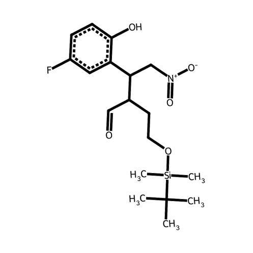 CC(C)(C)[Si](C)(C)OCCC(C=O)C(C[N+](=O)[O-])c1cc(F)ccc1O